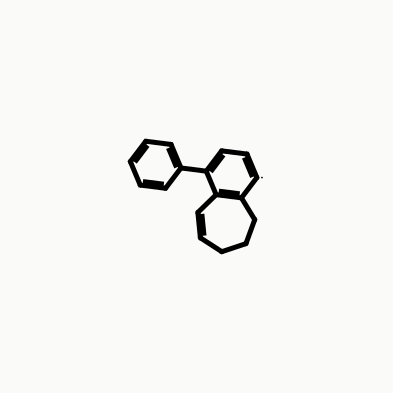 [c]1ccc(-c2ccccc2)c2c1CCCC=C2